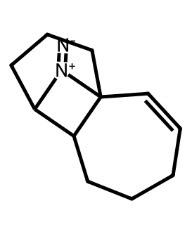 [N-]=[N+]1C2CCCC13C=CCCCC23